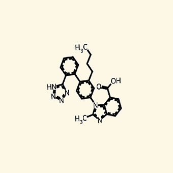 CCCCc1cc(-n2c(C)nc3cccc(C(=O)O)c32)ccc1-c1ccccc1-c1nnn[nH]1